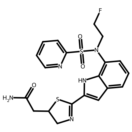 NC(=O)CC1CN=C(c2cc3cccc(N(CCF)S(=O)(=O)c4ccccn4)c3[nH]2)S1